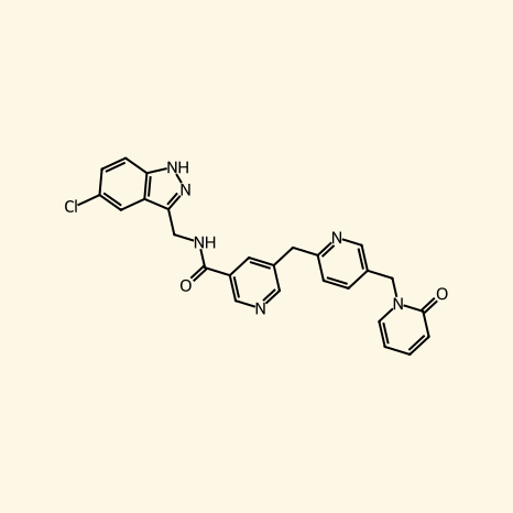 O=C(NCc1n[nH]c2ccc(Cl)cc12)c1cncc(Cc2ccc(Cn3ccccc3=O)cn2)c1